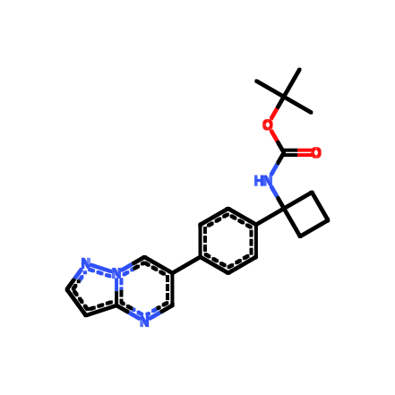 CC(C)(C)OC(=O)NC1(c2ccc(-c3cnc4ccnn4c3)cc2)CCC1